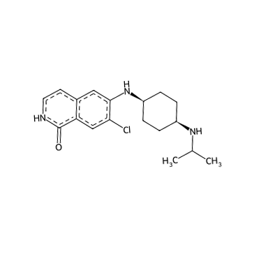 CC(C)N[C@H]1CC[C@@H](Nc2cc3cc[nH]c(=O)c3cc2Cl)CC1